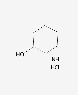 Cl.N.OC1CCCCC1